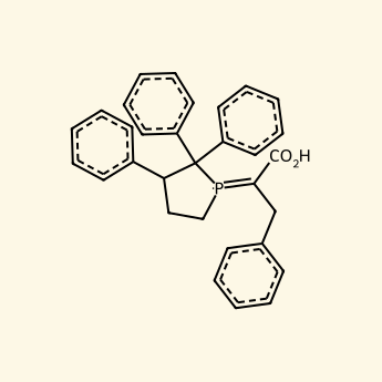 O=C(O)C(Cc1ccccc1)=[P]1CCC(c2ccccc2)C1(c1ccccc1)c1ccccc1